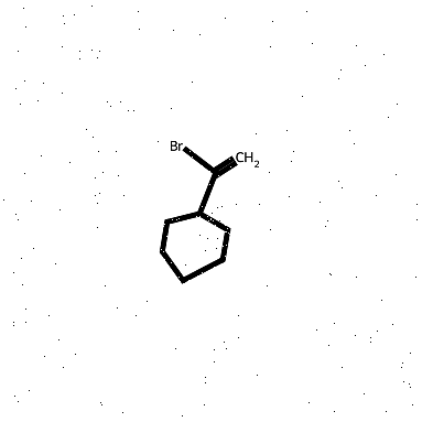 C=C(Br)C1CCCCC1